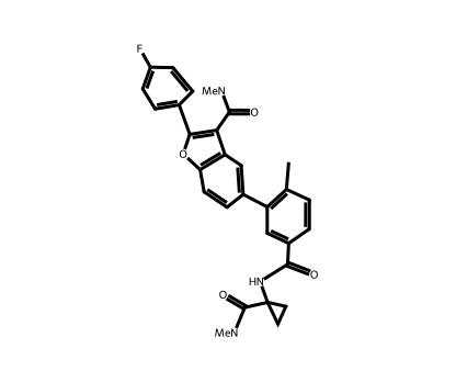 CNC(=O)c1c(-c2ccc(F)cc2)oc2ccc(-c3cc(C(=O)NC4(C(=O)NC)CC4)ccc3C)cc12